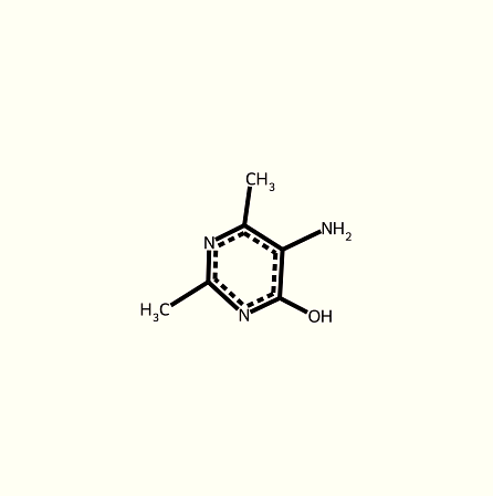 Cc1nc(C)c(N)c(O)n1